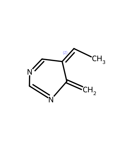 C=c1ncnc/c1=C/C